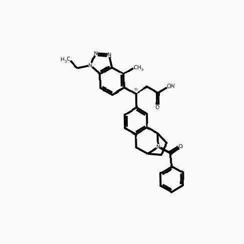 CCn1nnc2c(C)c([C@@H](CC(=O)O)c3ccc4c(c3)C3CCC(C4)N3C(=O)c3ccccc3)ccc21